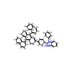 C1=CC(C2Nc3ccccc3N2c2ccccc2)CC=C1C1=Cc2c(c(-c3cccc4ccccc34)c3c(c2-c2cccc4ccccc24)=CCCC=3)CC1